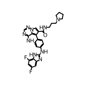 Nc1ncnn2cc(C(=O)NCCCN3CCCC3)c(-c3ccc(Nc4nc5cc(F)cc(F)c5[nH]4)cc3)c12